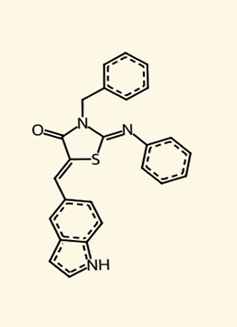 O=C1/C(=C/c2ccc3[nH]ccc3c2)S/C(=N\c2ccccc2)N1Cc1ccccc1